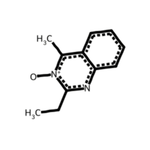 CCc1nc2ccccc2c(C)[n+]1[O-]